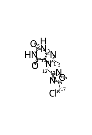 Cc1nc2[nH]c(=O)[nH]c(=O)c2n1Cc1noc(CCl)n1